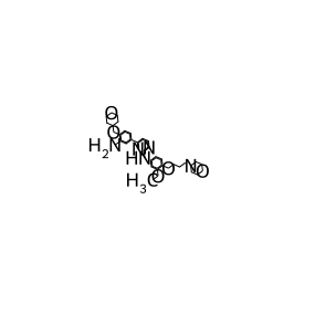 COc1cc(Nc2nccc(-c3ccc(OC4CCOCC4)c(N)c3)n2)ccc1OCCCN1CCOCC1